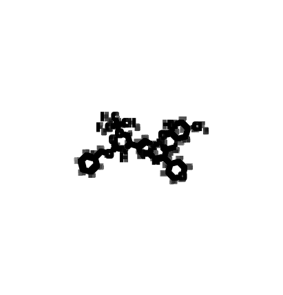 CC(C)(OCC(NC(=O)OCc1ccccc1)c1cn2nc(C[C@H]3C[C@@H](C(F)(F)F)CNC3=O)c(C3CCOCC3)nc2n1)C(F)(F)F